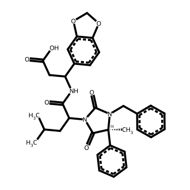 CC(C)CC(C(=O)NC(CC(=O)O)c1ccc2c(c1)OCO2)N1C(=O)N(Cc2ccccc2)[C@@](C)(c2ccccc2)C1=O